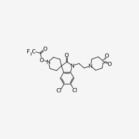 O=C(ON1CCC2(CC1)C(=O)N(CCN1CCS(=O)(=O)CC1)c1cc(Cl)c(Cl)cc12)C(F)(F)F